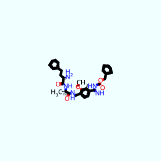 COc1cc(C(=N)NC(=O)OCc2ccccc2)ccc1CNC(=O)[C@H](C)NC(=O)[C@H](N)CCc1ccccc1